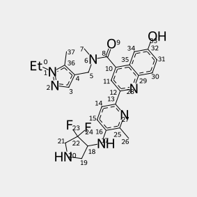 CCn1ncc(CN(C)C(=O)c2cc(-c3ccc(NC4CNCC4(F)F)c(C)n3)nc3ccc(O)cc23)c1C